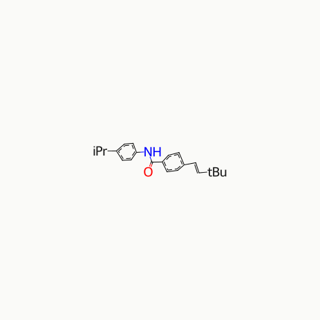 CC(C)c1ccc(NC(=O)c2ccc(/C=C/C(C)(C)C)cc2)cc1